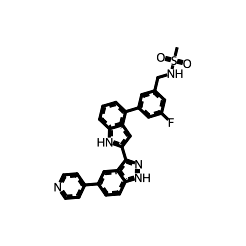 CS(=O)(=O)NCc1cc(F)cc(-c2cccc3[nH]c(-c4n[nH]c5ccc(-c6ccncc6)cc45)cc23)c1